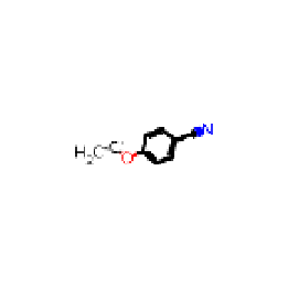 [CH2-][CH+]Oc1ccc(C#N)cc1